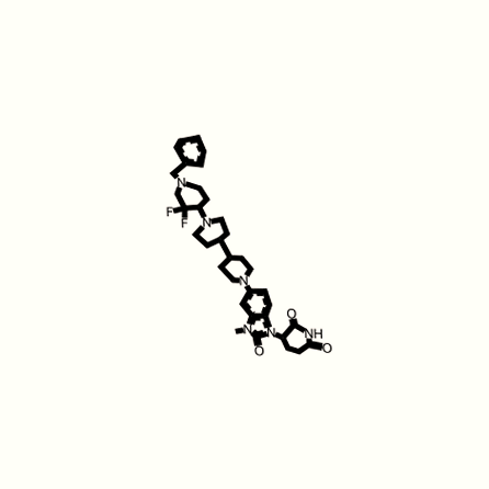 Cn1c(=O)n(C2CCC(=O)NC2=O)c2ccc(N3CCC(C4CCN(C5CCN(Cc6ccccc6)CC5(F)F)CC4)CC3)cc21